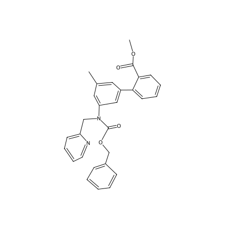 COC(=O)c1ccccc1-c1cc(C)cc(N(Cc2ccccn2)C(=O)OCc2ccccc2)c1